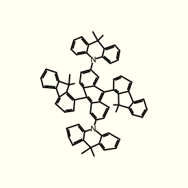 CC1(C)c2ccccc2N(c2ccc3c(-c4cccc5c4C(C)(C)c4ccccc4-5)c4cc(N5c6ccccc6C(C)(C)c6ccccc65)ccc4c(-c4cccc5c4C(C)(C)c4ccccc4-5)c3c2)c2ccccc21